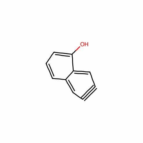 Oc1cccc2cc#ccc12